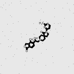 Cc1nccc(N2CCC3(CCN(CC(O)c4ccc5c(c4C)COC5=O)CC3)C2=O)n1